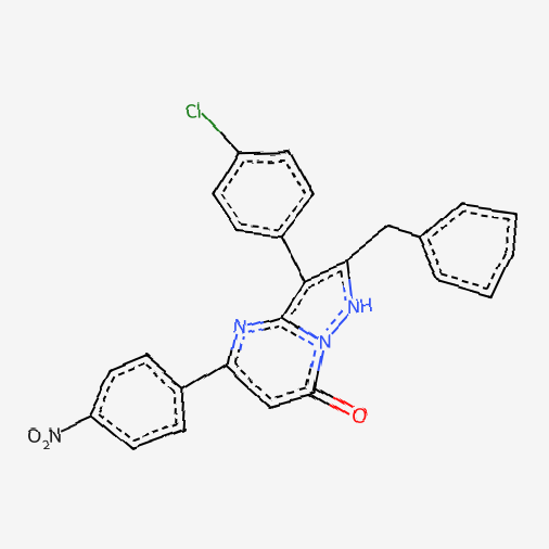 O=c1cc(-c2ccc([N+](=O)[O-])cc2)nc2c(-c3ccc(Cl)cc3)c(Cc3ccccc3)[nH]n12